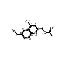 CC(=O)OCc1cc(Cl)c2cc(CBr)ccc2n1